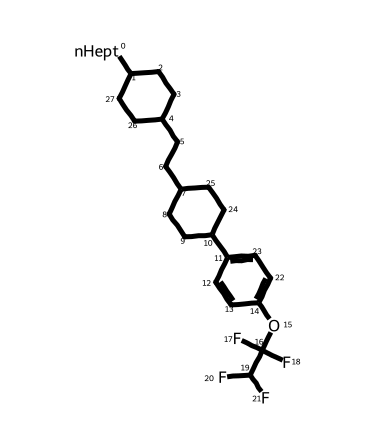 CCCCCCCC1CCC(CCC2CCC(c3ccc(OC(F)(F)C(F)F)cc3)CC2)CC1